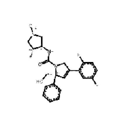 CN1C[C@@H](F)[C@H](NC(=O)N2CC(c3cc(F)ccc3F)=C[C@@]2(CO)c2ccccc2)C1